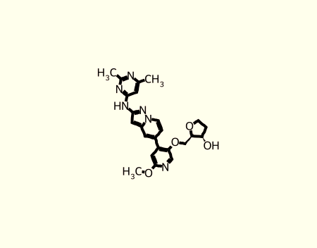 COc1cc(-c2ccn3nc(Nc4cc(C)nc(C)n4)cc3c2)c(OC[C@H]2OCC[C@@H]2O)cn1